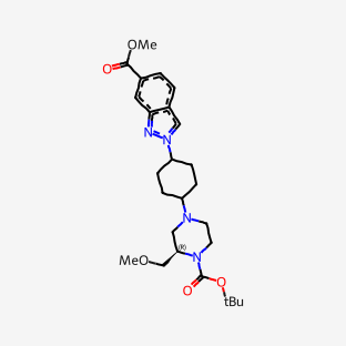 COC[C@H]1CN(C2CCC(n3cc4ccc(C(=O)OC)cc4n3)CC2)CCN1C(=O)OC(C)(C)C